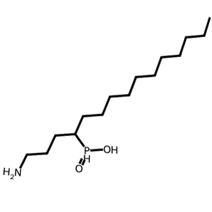 CCCCCCCCCCCC(CCCN)[PH](=O)O